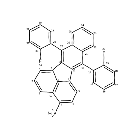 Bc1ccc2c3c(cccc13)-c1c-2c(-c2ccccc2F)c2ccccc2c1-c1ccccc1F